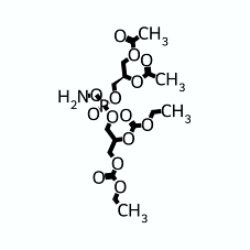 CCOC(=O)OCC(COP(=O)(ON)OC[C@@H](COC(C)=O)OC(C)=O)OC(=O)OCC